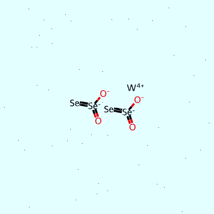 O=[Se-]([O-])=[Se].O=[Se-]([O-])=[Se].[W+4]